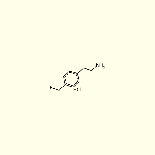 Cl.NCCc1ccc(CF)cc1